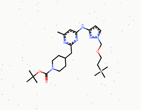 Cc1cc(Nc2ccn(COCC[Si](C)(C)C)n2)nc(CC2CCN(C(=O)OC(C)(C)C)CC2)n1